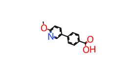 COc1ccc(-c2ccc(C(=O)O)cc2)cn1